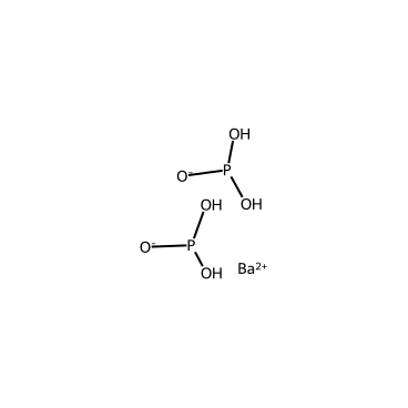 [Ba+2].[O-]P(O)O.[O-]P(O)O